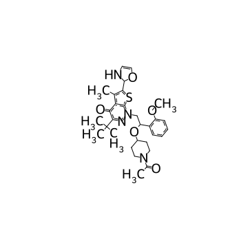 COc1ccccc1C(Cn1nc(C(C)(C)C)c(=O)c2c(C)c(C3NC=CO3)sc21)OC1CCN(C(C)=O)CC1